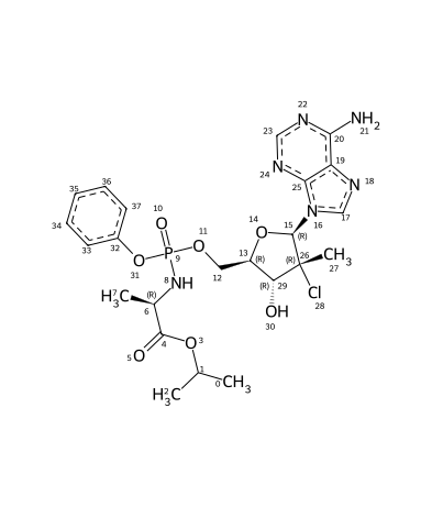 CC(C)OC(=O)[C@@H](C)NP(=O)(OC[C@H]1O[C@@H](n2cnc3c(N)ncnc32)[C@](C)(Cl)[C@@H]1O)Oc1ccccc1